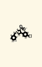 O=[N+]([O-])C1CN(Cc2ccccc2)CC1c1ccc(Cl)cc1